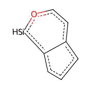 c1cc2cco[siH]c-2c1